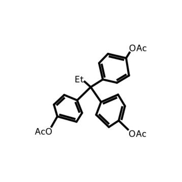 CCC(c1ccc(OC(C)=O)cc1)(c1ccc(OC(C)=O)cc1)c1ccc(OC(C)=O)cc1